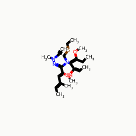 C#CN(C)/N=C(/C(O)=C/C(C)=C/C)N(CSCC)C(=C(/CC)OC)/C(=C\C)OC